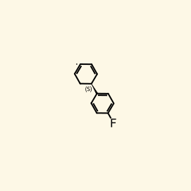 Fc1ccc([C@@H]2C=C[C]=CC2)cc1